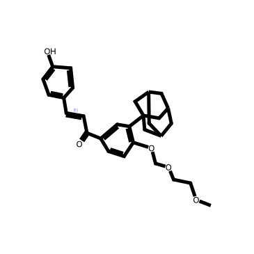 COCCOCOc1ccc(C(=O)/C=C/c2ccc(O)cc2)cc1C12CC3CC(CC(C3)C1)C2